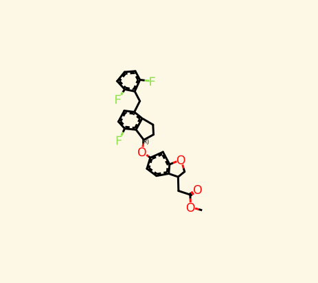 COC(=O)CC1COc2cc(O[C@@H]3CCc4c(Cc5c(F)cccc5F)ccc(F)c43)ccc21